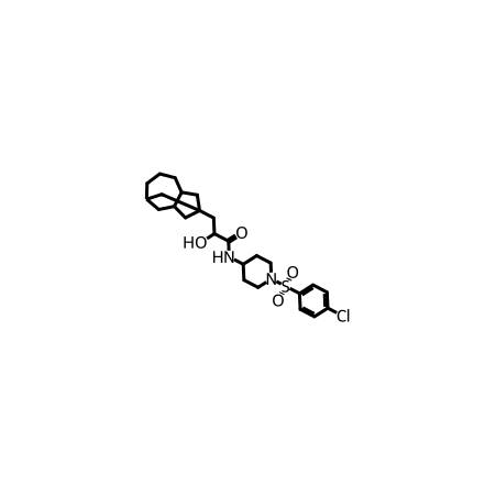 O=C(NC1CCN(S(=O)(=O)c2ccc(Cl)cc2)CC1)C(O)CC12CC3CCCC(C1)C(C3)C2